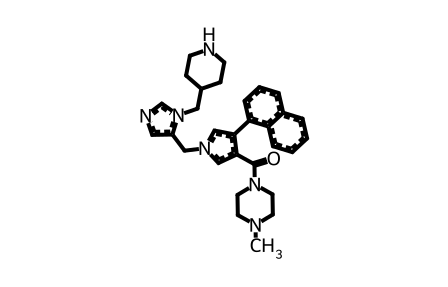 CN1CCN(C(=O)c2cn(Cc3cncn3CC3CCNCC3)cc2-c2cccc3ccccc23)CC1